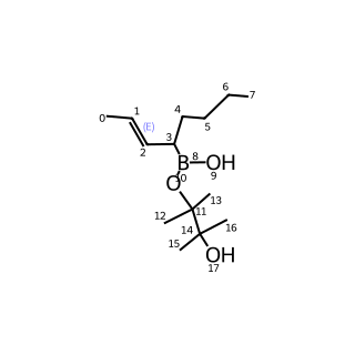 C/C=C/C(CCCC)B(O)OC(C)(C)C(C)(C)O